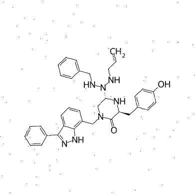 C=CCNN(NCc1ccccc1)[C@H]1CN(Cc2cccc3c(-c4ccccc4)n[nH]c23)C(=O)[C@H](Cc2ccc(O)cc2)N1